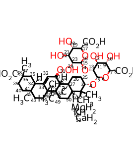 CC1(C)[C@@H](O[C@H]2O[C@H](C(=O)O)[C@@H](O)[C@H](O)[C@H]2O[C@@H]2O[C@H](C(=O)O)[C@@H](O)[C@H](O)[C@H]2O)CC[C@]2(C)[C@H]3C(=O)C=C4[C@@H]5C[C@@](C)(C(=O)O)CC[C@]5(C)CC[C@@]4(C)[C@]3(C)CC[C@@H]12.[CaH2].[KH].[MgH2]